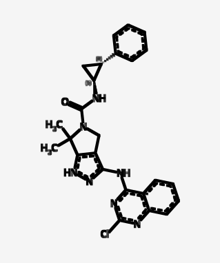 CC1(C)c2[nH]nc(Nc3nc(Cl)nc4ccccc34)c2CN1C(=O)N[C@H]1C[C@@H]1c1ccccc1